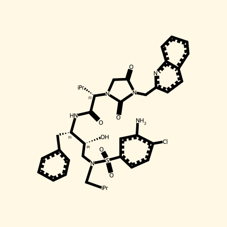 CC(C)CN(C[C@@H](O)[C@H](Cc1ccccc1)NC(=O)[C@H](C(C)C)N1CC(=O)N(Cc2ccc3ccccc3n2)C1=O)S(=O)(=O)c1ccc(Cl)c(N)c1